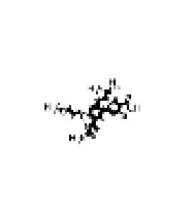 COCCCOc1cc2c(cc1-c1csc(C)n1)C1CC(=O)C(C(=O)O)=CN1C(C(C)C)C2